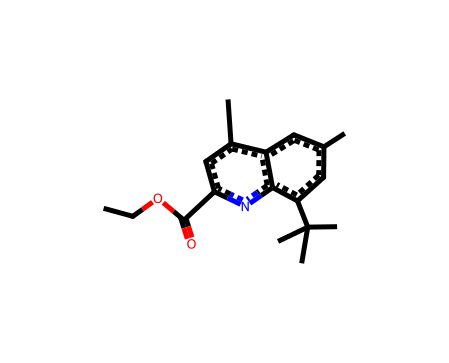 CCOC(=O)c1cc(C)c2cc(C)cc(C(C)(C)C)c2n1